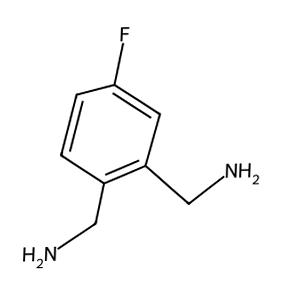 NCc1ccc(F)cc1CN